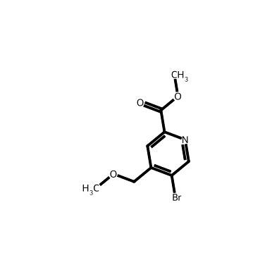 COCc1cc(C(=O)OC)ncc1Br